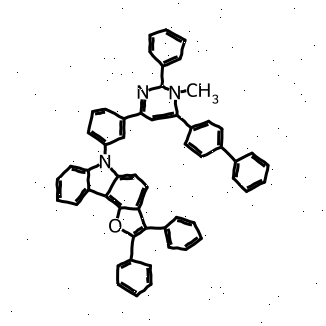 CN1C(c2ccc(-c3ccccc3)cc2)=CC(c2cccc(-n3c4ccccc4c4c5oc(-c6ccccc6)c(-c6ccccc6)c5ccc43)c2)=NC1c1ccccc1